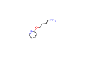 NC=CCCOc1ccccn1